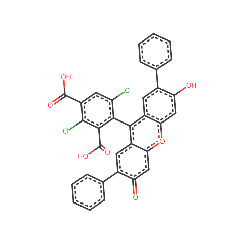 O=C(O)c1cc(Cl)c(-c2c3cc(-c4ccccc4)c(=O)cc-3oc3cc(O)c(-c4ccccc4)cc23)c(C(=O)O)c1Cl